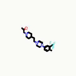 CC(=O)CN1CCC(CCN2CCN(c3ccc(C)c(C(F)(F)F)c3)CC2)CC1